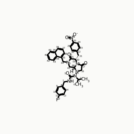 CC(C)N(C(=O)NCc1ccc(F)cc1)N1CC(=O)N2[C@@H](Cc3ccc([N+](=O)[O-])cc3)C(=O)N(Cc3cccc4ccccc34)C[C@@H]21